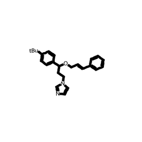 CC(C)(C)c1ccc(C(CCn2ccnc2)OC/C=C/c2ccccc2)cc1